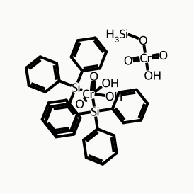 [O]=[Cr](=[O])([OH])([OH])([Si](c1ccccc1)(c1ccccc1)c1ccccc1)[Si](c1ccccc1)(c1ccccc1)c1ccccc1.[O]=[Cr](=[O])([OH])[O][SiH3]